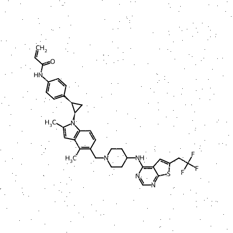 C=CC(=O)Nc1ccc([C@H]2C[C@H]2n2c(C)cc3c(C)c(CN4CCC(Nc5ncnc6sc(CC(F)(F)F)cc56)CC4)ccc32)cc1